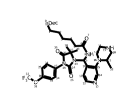 CCCCCCCCCCCCCCCC(=O)NC(c1ccncc1N1CCNCC1C)N1C(=O)N(c2ccc(OC(F)(F)F)cc2)C(=O)C1(C)C